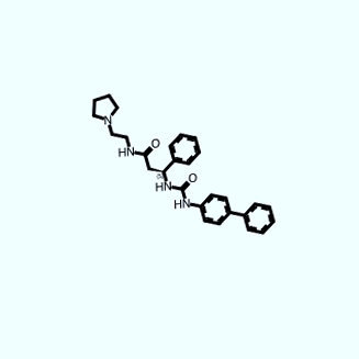 O=C(C[C@H](NC(=O)Nc1ccc(-c2ccccc2)cc1)c1ccccc1)NCCN1CCCC1